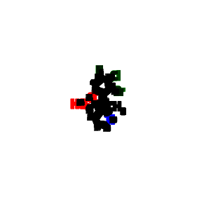 C[C@@H]1c2c(cc(F)c(Cl)c2Br)O[C@@]1(CO)c1cccnc1